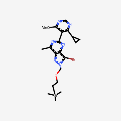 COc1ncnc(C2CC2)c1-c1nc(C)c2nn(COCC[Si](C)(C)C)c(Br)c2n1